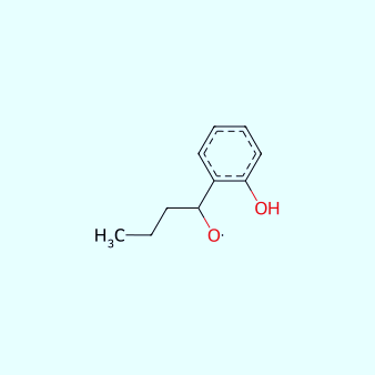 CCCC([O])c1ccccc1O